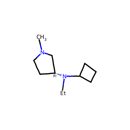 CCN(C1CCC1)[C@@H]1CCN(C)C1